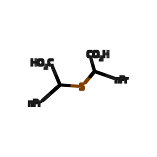 CCCC(SC(CCC)C(=O)O)C(=O)O